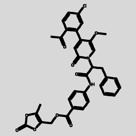 COc1cn(C(Cc2ccccc2)C(=O)Nc2ccc(C(=O)OCc3oc(=O)oc3C)cc2)c(=O)cc1-c1cc(Cl)ccc1C(C)=O